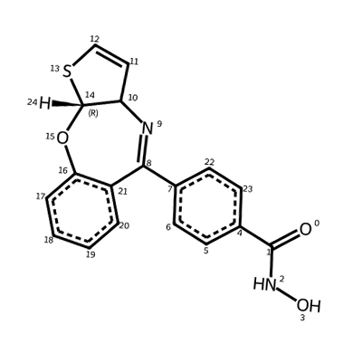 O=C(NO)c1ccc(C2=NC3C=CS[C@H]3Oc3ccccc32)cc1